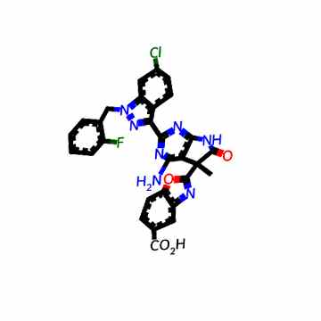 CC1(c2nc3cc(C(=O)O)ccc3o2)C(=O)Nc2nc(-c3nn(Cc4ccccc4F)c4cc(Cl)ccc34)nc(N)c21